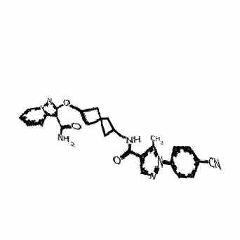 Cc1c(C(=O)NC2CC3(C2)CC(Oc2nn4ccccc4c2C(N)=O)C3)cnn1-c1ccc(C#N)cc1